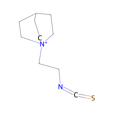 S=C=NCC[N+]12CCC(CC1)CC2